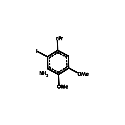 CCCc1cc(OC)c(OC)cc1I.N